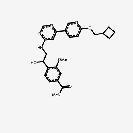 CNC(=O)c1ccc(C(O)CNc2cc(-c3ccc(OCC4CCC4)nc3)ncn2)c(OC)c1